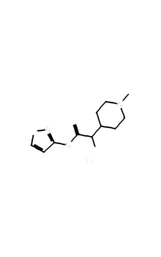 Br.CN1CCC(C(O)C(=O)Nc2ccon2)CC1